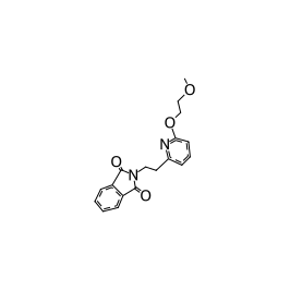 COCCOc1cccc(CCN2C(=O)c3ccccc3C2=O)n1